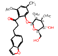 CC(=O)Oc1cc(C)cc(O[C@@H]2O[C@H](CO)[C@@H](O)[C@H](OC(C)=O)[C@H]2OC(C)=O)c1C(=O)CCc1ccc2occc2c1